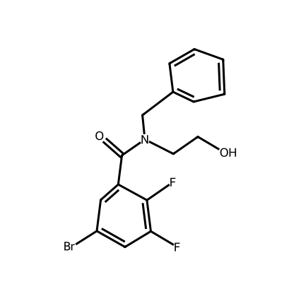 O=C(c1cc(Br)cc(F)c1F)N(CCO)Cc1ccccc1